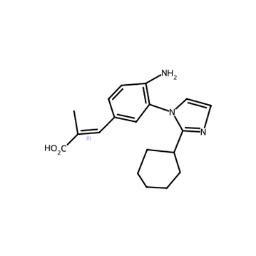 C/C(=C\c1ccc(N)c(-n2ccnc2C2CCCCC2)c1)C(=O)O